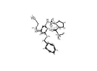 C[C@H](CO)Nc1cc(NS(=O)(=O)N2CCC[C@H]2C(=O)N(C)C)nc(SCc2ccccc2)n1